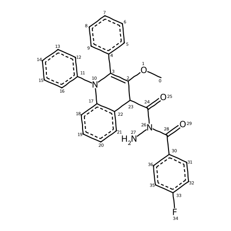 COC1=C(c2ccccc2)N(c2ccccc2)c2ccccc2C1C(=O)N(N)C(=O)c1ccc(F)cc1